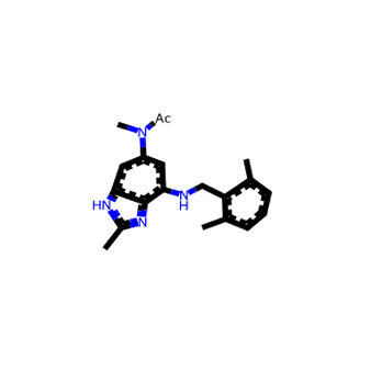 CC(=O)N(C)c1cc(NCc2c(C)cccc2C)c2nc(C)[nH]c2c1